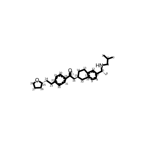 CC(C)CN[C@H](C)c1ccc2c(c1)CC[C@H](CC(=O)c1ccc(CC[C@@H]3CCCO3)cc1)C2